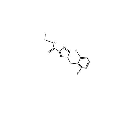 CCNC(=O)c1cn(Cc2c(F)cccc2F)cn1